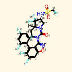 O=C1N(c2noc3cc(F)c(F)c(-c4c(F)cc(F)cc4F)c23)CC[C@H]2N1C[C@@H](NS(=O)(=O)CF)C2(F)F